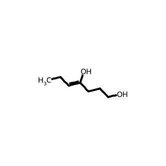 CCC=C(O)CCCO